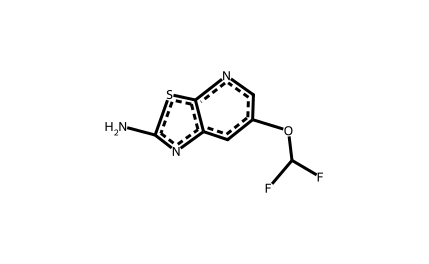 Nc1nc2cc(OC(F)F)cnc2s1